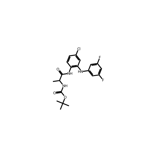 CC(NC(=O)OC(C)(C)C)C(=O)Nc1ccc(Cl)cc1Nc1cc(F)cc(F)c1